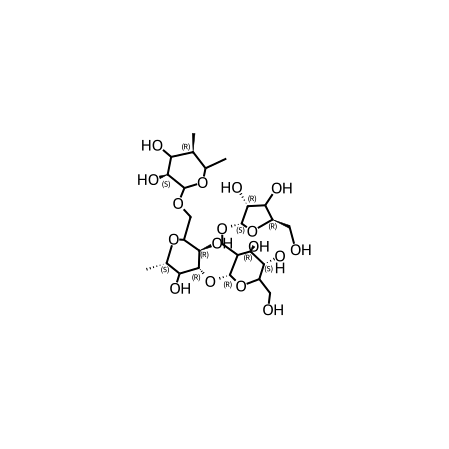 CC1OC(OCC2O[C@@H](C)C(O)[C@@H](O[C@H]3OC(CO)[C@@H](O)[C@H](O)C3CO[C@H]3O[C@H](CO)C(O)[C@H]3O)[C@@H]2O)[C@@H](O)C(O)[C@H]1C